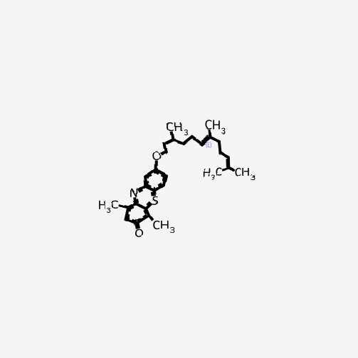 CC(C)=CCC/C(C)=C/CCC(C)CCOc1ccc2sc3c(C)c(=O)cc(C)c-3nc2c1